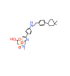 CN(Cc1nc(-c2ccc(NCCc3ccc(C4CCC(C)(C)CC4)cc3)cc2)cs1)S(=O)(=O)CC(=O)O